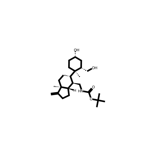 C=C1CC[C@H]2[C@H](CNC(=O)OC(C)(C)C)[C@@H]([C@@]3(C)CC[C@H](O)C[C@@H]3CO)CC[C@]12C